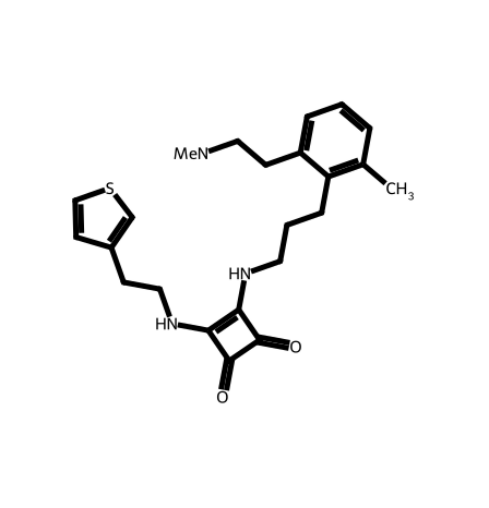 CNCCc1cccc(C)c1CCCNc1c(NCCc2ccsc2)c(=O)c1=O